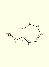 O=CC1=CC=CCCC1